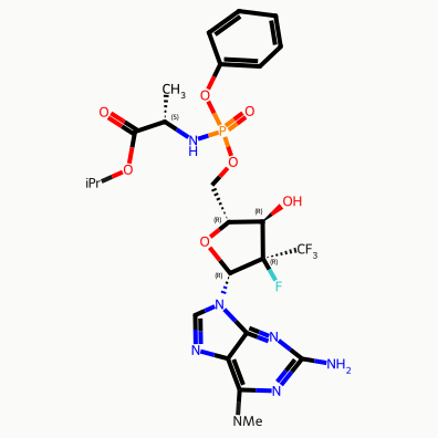 CNc1nc(N)nc2c1ncn2[C@@H]1O[C@H](COP(=O)(N[C@@H](C)C(=O)OC(C)C)Oc2ccccc2)[C@@H](O)[C@]1(F)C(F)(F)F